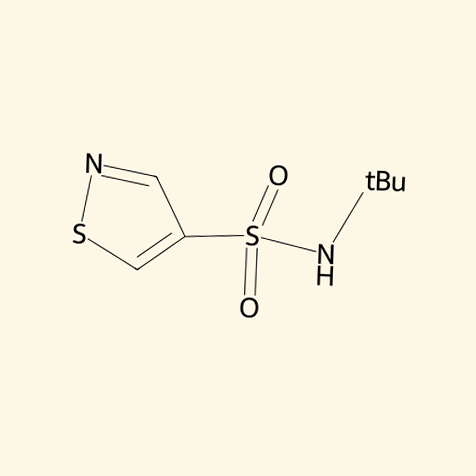 CC(C)(C)NS(=O)(=O)c1cnsc1